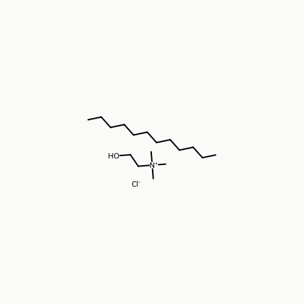 CCCCCCCCCCCC.C[N+](C)(C)CCO.[Cl-]